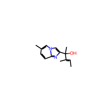 C/C=C(\C)C(C)(O)c1cn2cc(C)ccc2n1